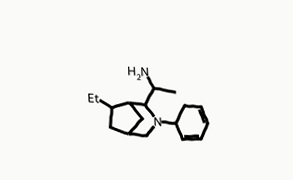 CCC1CC2CC1C(C(C)N)N(C1C=CC=CC1)C2